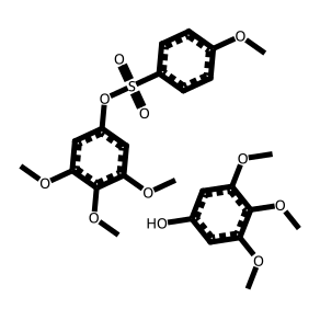 COc1cc(O)cc(OC)c1OC.COc1ccc(S(=O)(=O)Oc2cc(OC)c(OC)c(OC)c2)cc1